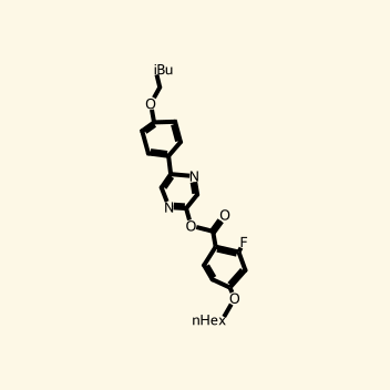 CCCCCCOc1ccc(C(=O)Oc2cnc(-c3ccc(OCC(C)CC)cc3)cn2)c(F)c1